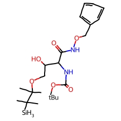 CC(C)(C)OC(=O)NC(C(=O)NOCc1ccccc1)C(O)COC(C)(C)C(C)(C)[SiH3]